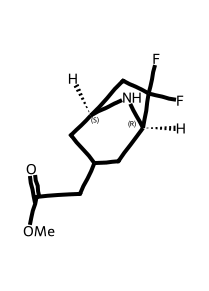 COC(=O)CC1C[C@H]2CC(F)(F)[C@@H](C1)N2